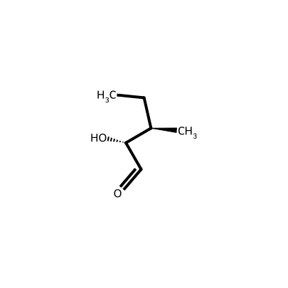 CC[C@@H](C)[C@@H](O)C=O